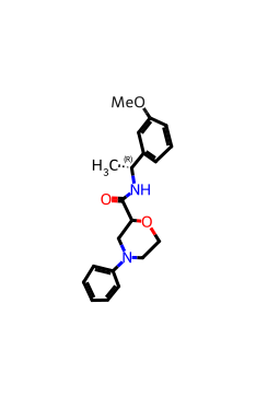 COc1cccc([C@@H](C)NC(=O)C2CN(c3ccccc3)CCO2)c1